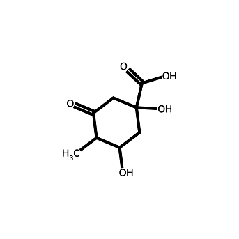 CC1C(=O)CC(O)(C(=O)O)CC1O